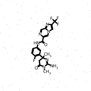 CN1C(=O)CC(C)(c2cc(NC(=O)c3cn4cc(C(F)(F)F)nc4cn3)ccc2F)N=C1N